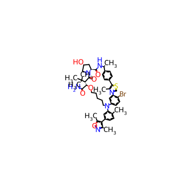 Cc1ccc(-c2c(C)noc2C)cc1N(CCCCCOC(C(N)=O)[C@@H](C(=O)N1C[C@H](O)C[C@H]1C(=O)N[C@@H](C)c1ccc(-c2scnc2C)cc1)C(C)(C)C)c1ccc(Br)cc1